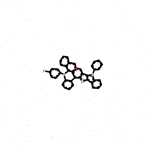 Fc1ccc(N(c2ccccc2-c2cccc3c2oc2c4ccccc4n(-c4ccccc4)c32)c2cccc3ccccc23)cc1